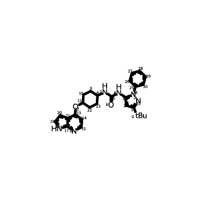 CC(C)(C)c1cc(NC(=O)NC2CCC(Oc3ccnc4[nH]ccc34)CC2)n(-c2ccccc2)n1